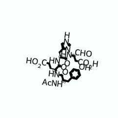 CC(=O)N[C@@H](Cc1ccc(O)cc1)C(=O)N[C@@H](CCC(=O)O)C(=O)N[C@@H](Cc1c[nH]cn1)C(=O)N[C@H](C=O)CC(=O)O